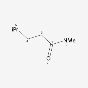 CNC(=O)CCC(C)C